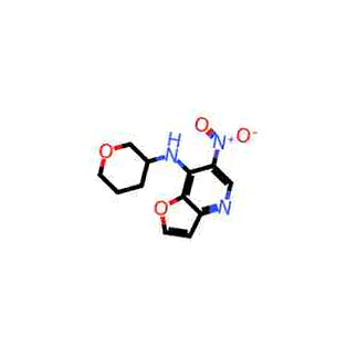 O=[N+]([O-])c1cnc2ccoc2c1NC1CCCOC1